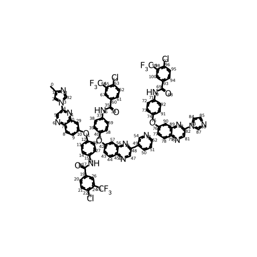 Cc1cn(-c2cnc3ccc(Oc4ccc(NC(=O)c5ccc(Cl)c(C(F)(F)F)c5)cc4)cc3n2)cn1.O=C(Nc1ccc(Oc2ccc3ncc(-c4cccnc4)nc3c2)cc1)c1ccc(Cl)c(C(F)(F)F)c1.O=C(Nc1ccc(Oc2ccc3ncc(-n4ccnc4)nc3c2)cc1)c1ccc(Cl)c(C(F)(F)F)c1